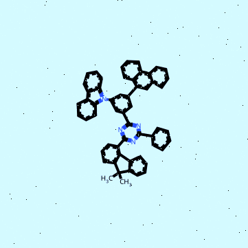 CC1(C)c2ccccc2-c2c(-c3nc(-c4ccccc4)nc(-c4cc(-c5cc6ccccc6c6ccccc56)cc(-n5c6ccccc6c6ccccc65)c4)n3)cccc21